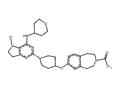 O=C(N1CCc2ccc(OC3CCN(c4nc5c(c(NC6CCOCC6)n4)[S+]([O-])CC5)CC3)cc2CC1)C(F)(F)F